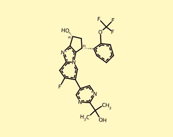 CC(C)(O)c1ncc(-c2cn3c4c(nc3cc2F)[C@H](O)C[C@@H]4c2ccccc2OC(F)(F)F)cn1